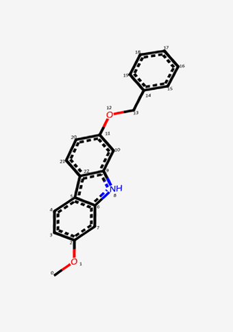 COc1ccc2c(c1)[nH]c1cc(OCc3ccccc3)ccc12